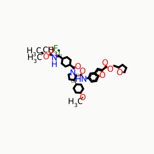 COC1CCC([C@@H]2CCN(C(=O)C3CCC([C@@H](CF)NC(=O)OC(C)(C)C)CC3)[C@@H]2C(=O)Nc2ccc3oc(C(=O)OCC4CCCO4)cc3c2)CC1